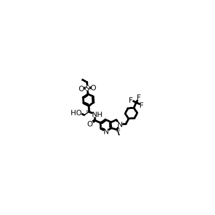 CCS(=O)(=O)c1ccc([C@H](CO)NC(=O)c2cnc3c(c2)CN(CC2CCC(C(F)(F)F)CC2)[C@H]3C)cc1